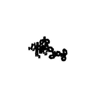 Bc1c(B)c(B)c(-c2ccc3sc4cccc(-n5c6ccccc6c6cc(-n7c8ccccc8c8cc(-n9c%10ccccc%10c%10ccccc%109)ccc87)ccc65)c4c3c2)c(B)c1B